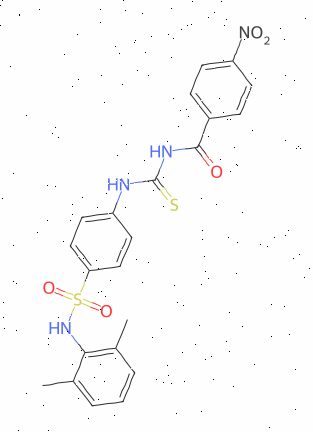 Cc1cccc(C)c1NS(=O)(=O)c1ccc(NC(=S)NC(=O)c2ccc([N+](=O)[O-])cc2)cc1